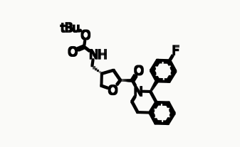 CC(C)(C)OC(=O)NC[C@H]1CO[C@H](C(=O)N2CCc3ccccc3[C@@H]2c2ccc(F)cc2)C1